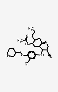 CCOC1CC2=NCC(C#N)C(Nc3ccc(OCC4CCCNC4)c(Cl)c3)C2CC1NC(C)=O